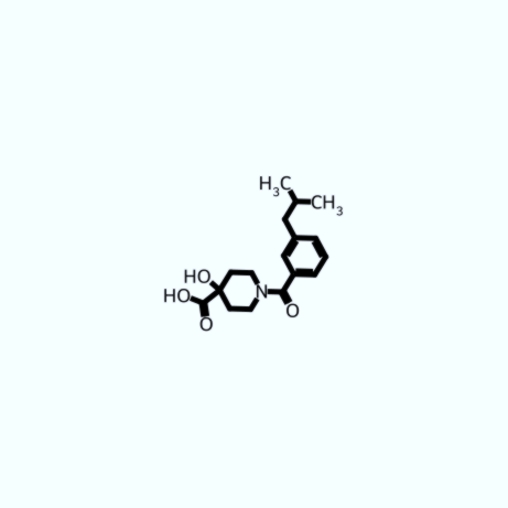 CC(C)Cc1cccc(C(=O)N2CCC(O)(C(=O)O)CC2)c1